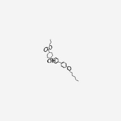 CCCCCCOc1ccc(-c2ccc(C3(O)CCC(C(=O)OCCC)CC3)cc2)cc1